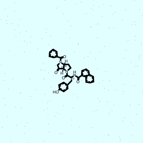 O=C(N[C@@H](Cc1ccc(O)cc1)C(=O)N1CC[C@@H]2[C@H]1C(=O)CN2C(=O)c1ccccc1)c1cccc2ccccc12